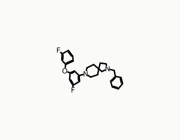 Fc1cccc(Oc2cc(F)cc(N3CCC4(CCN(Cc5ccccc5)C4)CC3)c2)c1